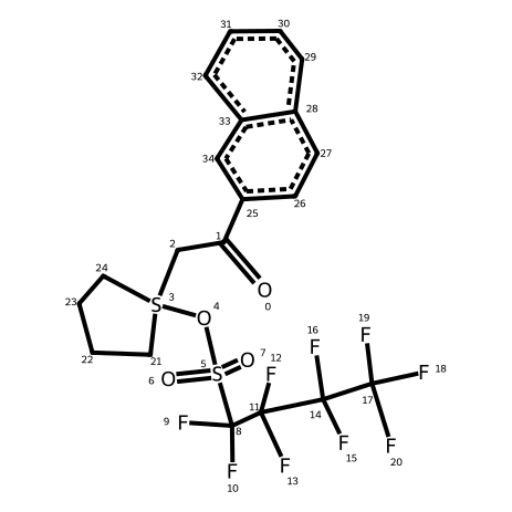 O=C(CS1(OS(=O)(=O)C(F)(F)C(F)(F)C(F)(F)C(F)(F)F)CCCC1)c1ccc2ccccc2c1